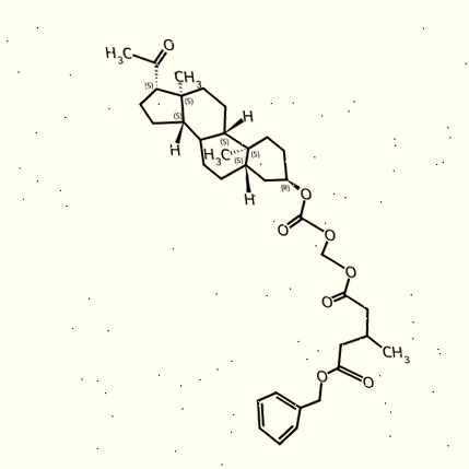 CC(=O)[C@H]1CC[C@H]2C3CC[C@H]4C[C@H](OC(=O)OCOC(=O)CC(C)CC(=O)OCc5ccccc5)CC[C@]4(C)[C@H]3CC[C@]12C